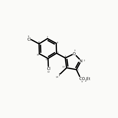 CCOC(=O)c1noc(-c2ccc(Cl)cc2Cl)c1I